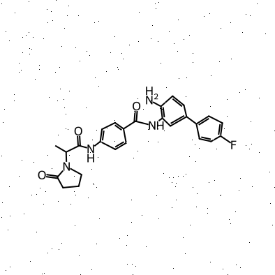 CC(C(=O)Nc1ccc(C(=O)Nc2cc(-c3ccc(F)cc3)ccc2N)cc1)N1CCCC1=O